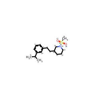 CC(C)c1cccc(CCC2CCCN(S(C)(=O)=O)C2)c1